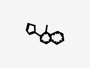 Cc1c(C2=CC=CC2)ccc2ccccc12